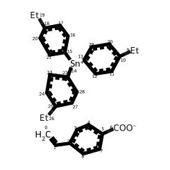 C=Cc1ccc(C(=O)[O-])cc1.CCc1cc[c]([Sn+]([c]2ccc(CC)cc2)[c]2ccc(CC)cc2)cc1